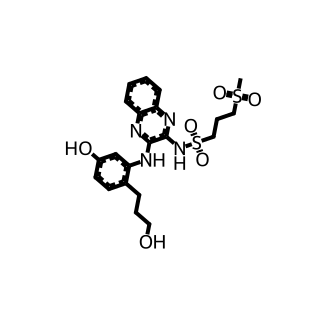 CS(=O)(=O)CCCS(=O)(=O)Nc1nc2ccccc2nc1Nc1cc(O)ccc1CCCO